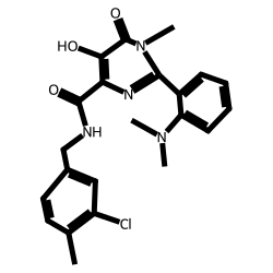 Cc1ccc(CNC(=O)c2nc(-c3ccccc3N(C)C)n(C)c(=O)c2O)cc1Cl